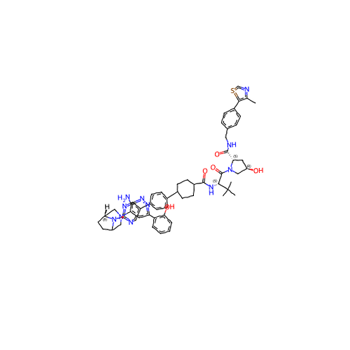 Cc1ncsc1-c1ccc(CNC(=O)[C@@H]2C[C@@H](O)CN2C(=O)[C@@H](NC(=O)C2CCC(c3ccc(-c4cnc(N5C6CC[C@@H]5CN(c5cc(-c7ccccc7O)nnc5N)C6)nc4)cc3)CC2)C(C)(C)C)cc1